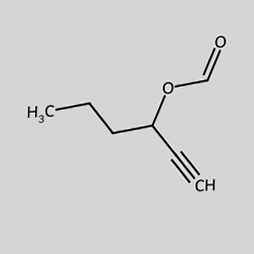 C#CC(CCC)OC=O